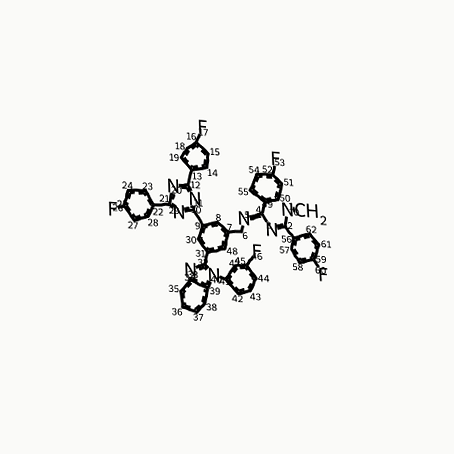 C=N/C(=N\C(=N/Cc1cc(-c2nc(-c3ccc(F)cc3)nc(-c3ccc(F)cc3)n2)cc(-c2nc3ccccc3n2-c2cccc(F)c2)c1)c1ccc(F)cc1)c1ccc(F)cc1